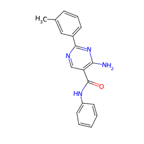 Cc1cccc(-c2ncc(C(=O)Nc3ccccc3)c(N)n2)c1